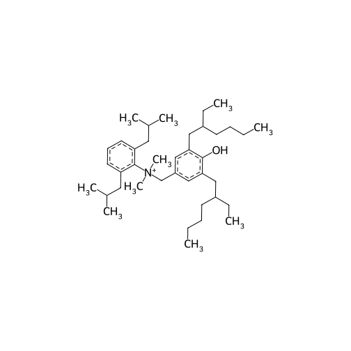 CCCCC(CC)Cc1cc(C[N+](C)(C)c2c(CC(C)C)cccc2CC(C)C)cc(CC(CC)CCCC)c1O